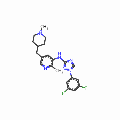 Cc1ncc(CC2CCN(C)CC2)cc1Nc1ncn(-c2cc(F)cc(F)c2)n1